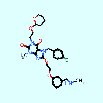 CNCc1cccc(OCCOc2nc3c(c(=O)n(CCOC4CCCCO4)c(=O)n3C)n2Cc2ccc(Cl)cc2)c1